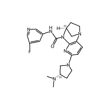 CN(C)[C@H]1CCN(c2ccc3c(n2)N(C(=O)Nc2cncc(F)c2)[C@H]2CCN3C2)C1